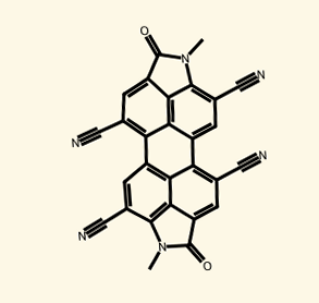 CN1C(=O)c2cc(C#N)c3c4cc(C#N)c5c6c(cc(C#N)c(c7cc(C#N)c1c2c73)c64)C(=O)N5C